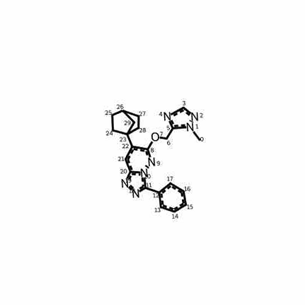 Cn1ncnc1COc1nn2c(-c3ccccc3)nnc2cc1C12CCC(CC1)C2